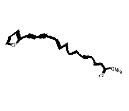 COC(=O)CCCCCCCC=CC#CC#Cc1ccco1